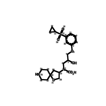 O=C(O)N(CC(O)COc1cccc(S(=O)(=O)C2CC2)c1)C1COC2(CCNCC2)C1